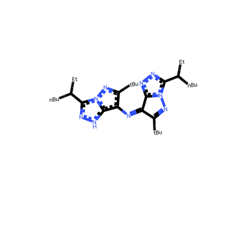 CCCCC(CC)c1nnc2n1N=C(C(C)(C)C)/C2=N/c1c(C(C)(C)C)nn2c(C(CC)CCCC)n[nH]c12